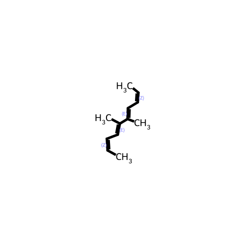 C\C=C/C=C(C)/C(C)=C/C=C\C